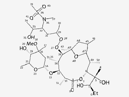 CC[C@@H](O)[C@@](C)(O)[C@@H]1OC(=O)[C@H](C)[C@@H](O[C@H]2CC(C)(OC)[C@@H](O)C(C)O2)[C@H](C)[C@@H](OOC(C)CC(C(C)O)N(C)S(C)(=O)=O)[C@@]2(C)CC(C)C(O2)[C@@H]1C